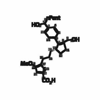 CCCCCC(O)c1ccc(C2=C(CO)CC[C@@H]2CCCc2sc(C(=O)O)cc2OC)cc1